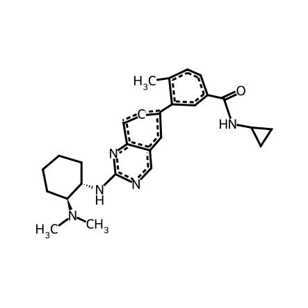 Cc1ccc(C(=O)NC2CC2)cc1-c1ccc2nc(N[C@H]3CCCC[C@@H]3N(C)C)ncc2c1